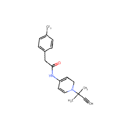 C#CC(C)(C)N1C=CC(NC(=O)Cc2ccc(C(F)(F)F)cc2)=CC1